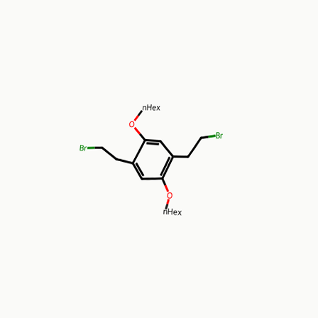 CCCCCCOc1cc(CCBr)c(OCCCCCC)cc1CCBr